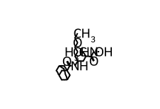 CCOCOCC(CC(C)C(=O)NO)NC(=O)C12CC3CC(CC(C3)C1)C2